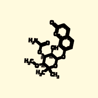 CO[C@@H]1[C@H](OC(N)=O)[C@H](O)C(Oc2ccc3ccc(=O)oc3c2)OC1(C)C